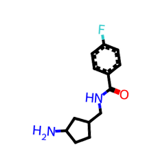 NC1CCC(CNC(=O)c2ccc(F)cc2)C1